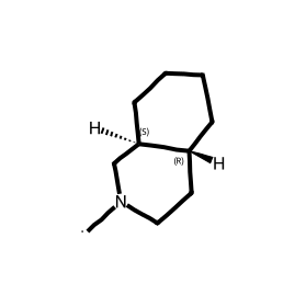 [CH2]N1CC[C@H]2CCCC[C@@H]2C1